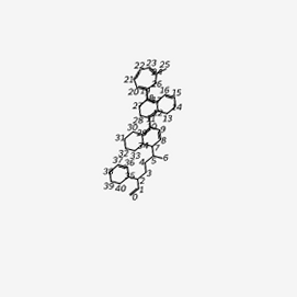 C=CC(CCC(C)C1C=CC(C2=C3CCC=CC3=C(C3=CC=CC=C(C)C3)CC2)=C2CCCCC21)C1C=CCCC1